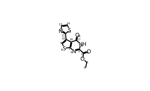 CCOC(=O)c1nc2scc(-c3nccs3)c2c(=O)[nH]1